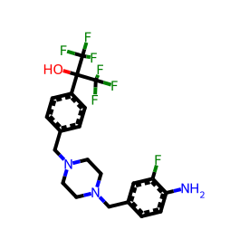 Nc1ccc(CN2CCN(Cc3ccc(C(O)(C(F)(F)F)C(F)(F)F)cc3)CC2)cc1F